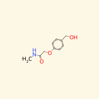 [CH2]NC(=O)COc1ccc(CO)cc1